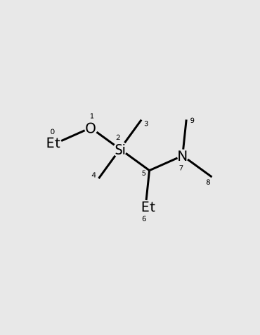 CCO[Si](C)(C)C(CC)N(C)C